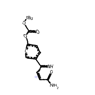 CC(C)(C)OC(=O)Oc1ccc(C(=N)/C=C\C(N)=O)cc1